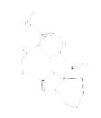 CNc1ccc(C(=O)C2(CC(=O)O)CCCCC2)cc1[N+](=O)[O-]